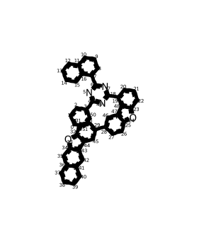 c1ccc(-c2nc(-c3cccc4ccccc34)nc(-c3cccc4oc5ccc(-c6ccc7oc8cc9ccccc9cc8c7c6)cc5c34)n2)cc1